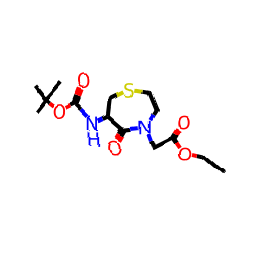 CCOC(=O)CN1CCSCC(NC(=O)OC(C)(C)C)C1=O